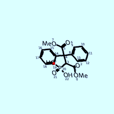 COC(=O)C(C(C(=O)OC)(c1ccccc1)c1ccccc1)P(=O)(O)O